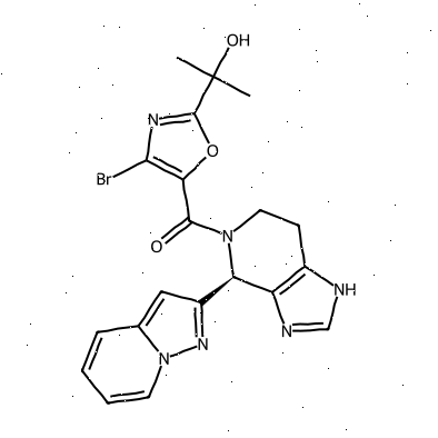 CC(C)(O)c1nc(Br)c(C(=O)N2CCc3[nH]cnc3[C@H]2c2cc3ccccn3n2)o1